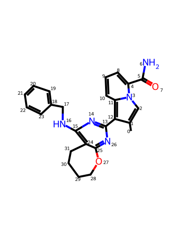 Cc1cn2c(C(N)=O)cccc2c1-c1nc(NCc2ccccc2)c2c(n1)OCCCC2